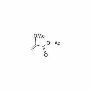 C=C(OC)C(=O)OC(C)=O